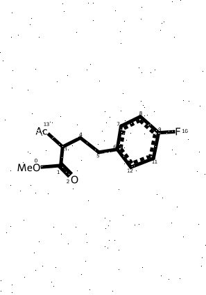 COC(=O)C(CCc1ccc(F)cc1)C(C)=O